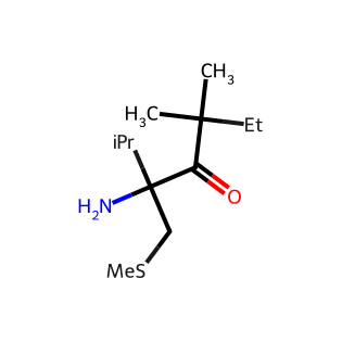 CCC(C)(C)C(=O)C(N)(CSC)C(C)C